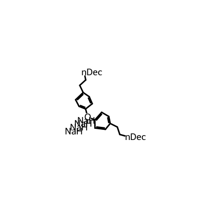 CCCCCCCCCCCCc1ccc(Oc2ccc(CCCCCCCCCCCC)cc2)cc1.[NaH].[NaH].[NaH].[NaH]